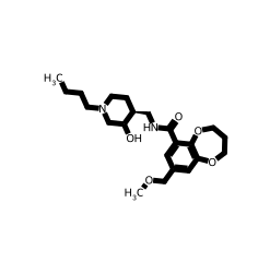 CCCCN1CC[C@@H](CNC(=O)c2cc(COC)cc3c2OCCCO3)C(O)C1